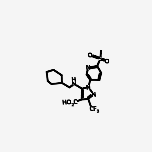 CS(=O)(=O)c1ccc(-n2nc(C(F)(F)F)c(C(=O)O)c2NCC2CCCCC2)cn1